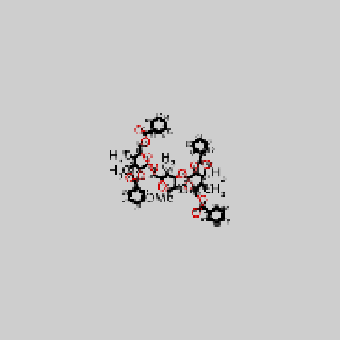 COC1OC(COC2OC(COC(=O)c3ccccc3)C(C)C(C)C2OC(=O)c2ccccc2)C(C)C(OC2OC(COC(=O)c3ccccc3)C(C)C(C)C2OC(=O)c2ccccc2)C1OC(C)=O